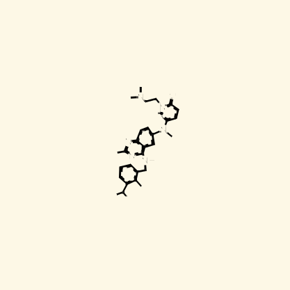 Cc1nc(N[C@H](C)c2cccc(C(F)F)c2C)c2cc(N(C)c3ccc(=O)n(CCN(C)C)n3)ccc2n1